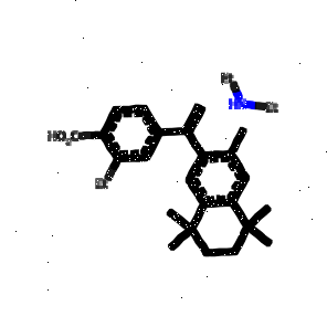 C=C(c1ccc(C(=O)O)c(CC)c1)c1cc2c(cc1C)C(C)(C)CCC2(C)C.CCNCC